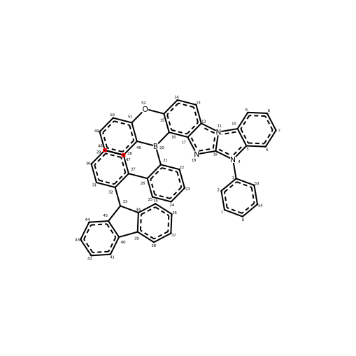 c1ccc(-n2c3ccccc3n3c4ccc5c(c4nc23)B(c2ccccc2-c2ccccc2C2c3ccccc3-c3ccccc32)c2ccccc2O5)cc1